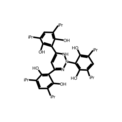 CC(C)c1cc(C(C)C)c(O)c(C2=CC(c3c(O)c(C(C)C)cc(C(C)C)c3O)=NN(c3c(O)c(C(C)C)cc(C(C)C)c3O)N2)c1O